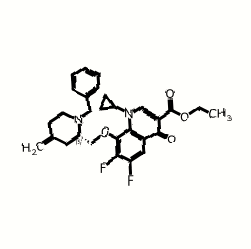 C=C1CCN(Cc2ccccc2)[C@H](COc2c(F)c(F)cc3c(=O)c(C(=O)OCC)cn(C4CC4)c23)C1